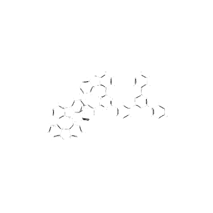 C1#CCC(c2nc(-c3cccc(-c4cc(-c5ccccc5)cc(-c5ccccc5)c4)c3)nc(-c3cccc4oc5ccc(C6=CCC7C(=C6)c6ccccc6N7c6cccc7oc8ccccc8c67)cc5c34)n2)=CC=C1